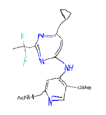 COc1cnc(NC(C)=O)cc1Nc1cc(C2CC2)nc(C(C)(F)F)n1